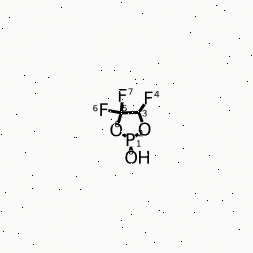 OP1OC(F)C(F)(F)O1